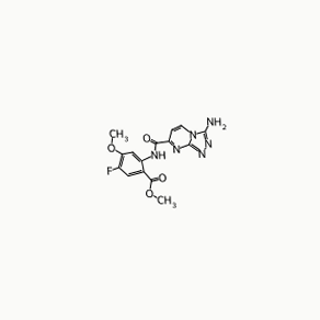 COC(=O)c1cc(F)c(OC)cc1NC(=O)c1ccn2c(N)nnc2n1